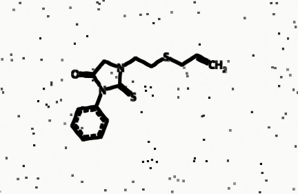 C=CCSCCN1CC(=O)N(c2ccccc2)C1=S